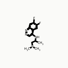 CC(CN(C)C)Nc1cnnc2cc(F)c(F)cc12